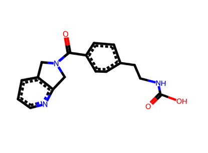 O=C(O)NCCc1ccc(C(=O)N2Cc3cccnc3C2)cc1